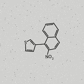 O=[N+]([O-])c1ccc2ccccc2c1-c1ccsc1